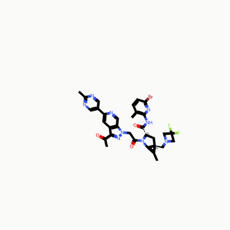 CC(=O)c1nn(CC(=O)N2C3=C(C)[C@@]3(CN3CC(F)(F)C3)C[C@H]2C(=O)Nc2nc(Br)ccc2C)c2cnc(-c3cnc(C)nc3)cc12